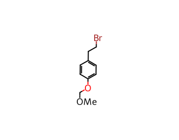 COCOc1ccc(CCBr)cc1